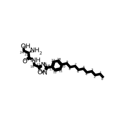 CCCCCCCCCCc1ccc(-c2noc(CNC(=O)[C@@H](N)CO)n2)cc1